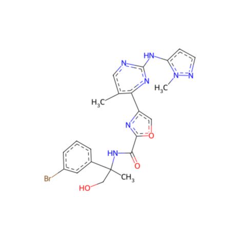 Cc1cnc(Nc2ccnn2C)nc1-c1coc(C(=O)NC(C)(CO)c2cccc(Br)c2)n1